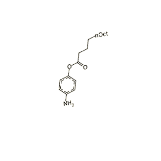 CCCCCCCCCCCC(=O)Oc1ccc(N)cc1